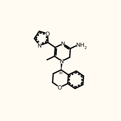 CC1=C(c2ncco2)N=C(N)CN1[C@@H]1CCOc2ccccc21